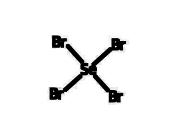 Br[Se](Br)(Br)Br